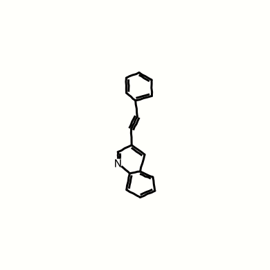 C(#Cc1cnc2ccccc2c1)c1ccccc1